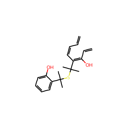 C=C/C=C\C(=C(\O)C=C)C(C)(C)SC(C)(C)c1ccccc1O